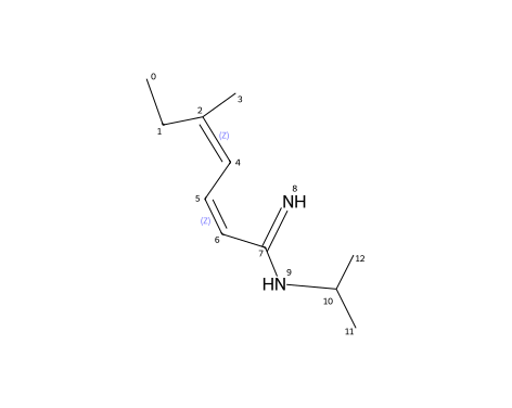 CC/C(C)=C\C=C/C(=N)NC(C)C